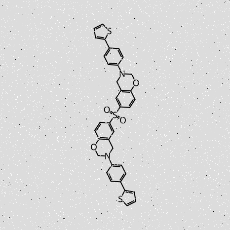 O=S(=O)(c1ccc2c(c1)CN(c1ccc(-c3cccs3)cc1)CO2)c1ccc2c(c1)CN(c1ccc(-c3cccs3)cc1)CO2